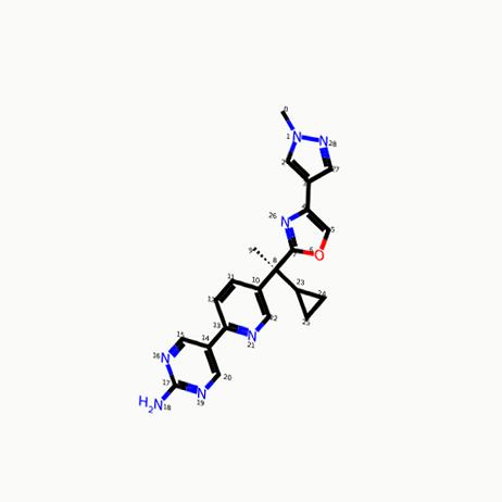 Cn1cc(-c2coc([C@](C)(c3ccc(-c4cnc(N)nc4)nc3)C3CC3)n2)cn1